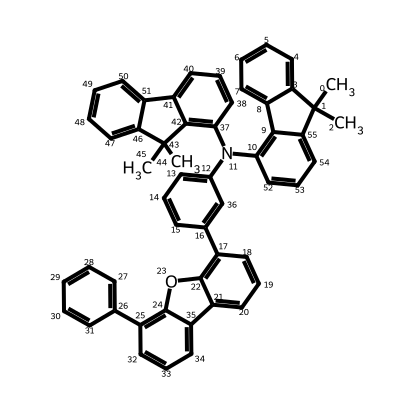 CC1(C)c2ccccc2-c2c(N(c3cccc(-c4cccc5c4oc4c(-c6ccccc6)cccc45)c3)c3cccc4c3C(C)(C)c3ccccc3-4)cccc21